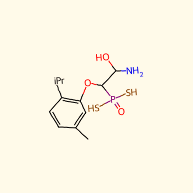 Cc1ccc(C(C)C)c(OC(C(N)O)P(=O)(S)S)c1